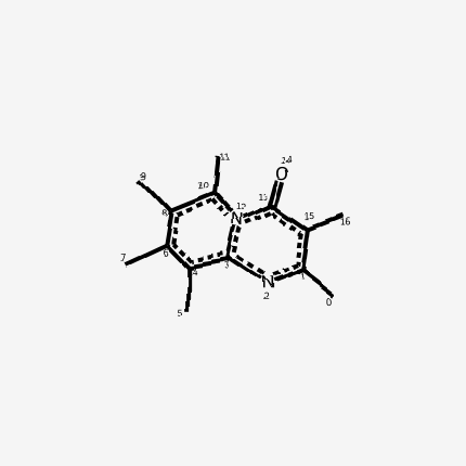 Cc1nc2c(C)c(C)c(C)c(C)n2c(=O)c1C